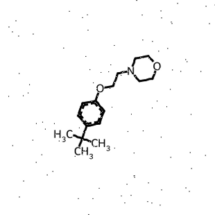 CC(C)(C)c1ccc(OCCN2CCOCC2)cc1